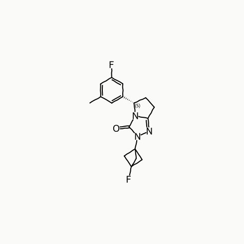 Cc1cc(F)cc([C@@H]2CCc3nn(C45CC(F)(C4)C5)c(=O)n32)c1